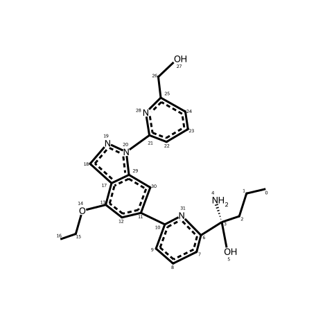 CCC[C@@](N)(O)c1cccc(-c2cc(OCC)c3cnn(-c4cccc(CO)n4)c3c2)n1